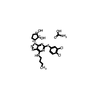 CCCCNc1nc(Sc2ccc(Cl)c(Cl)c2)nc2c1nnn2[C@@H]1CC[C@@H](O)[C@H]1O.NC(=O)O